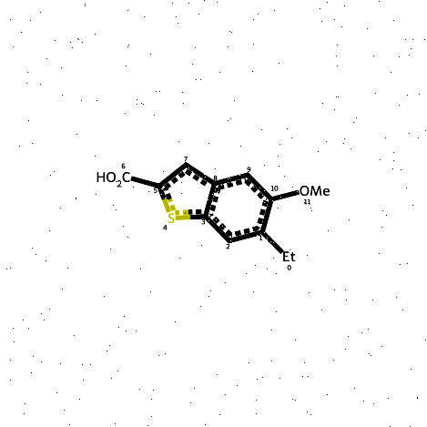 CCc1cc2sc(C(=O)O)cc2cc1OC